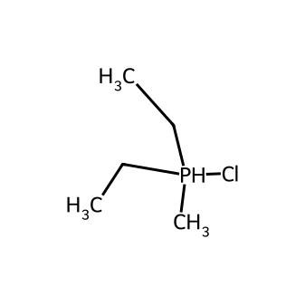 CC[PH](C)(Cl)CC